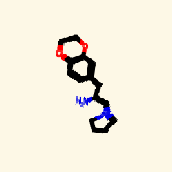 N[C@@H](Cc1ccc2c(c1)OCCO2)CN1CCCC1